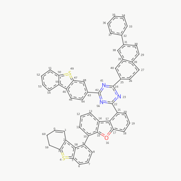 C1=Cc2c(sc3cccc(-c4cccc5c4oc4cccc(-c6nc(-c7ccc8ccc(-c9ccccc9)cc8c7)nc(-c7ccc8c(c7)sc7ccccc78)n6)c45)c23)CC1